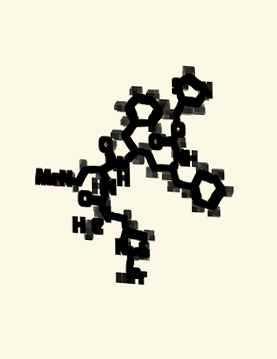 CNCCC(NC(=O)N(C)Cc1csc(C(C)C)n1)C(=O)NC(CCC(Cc1ccccc1)NC(=O)OCc1cncs1)Cc1ccccc1